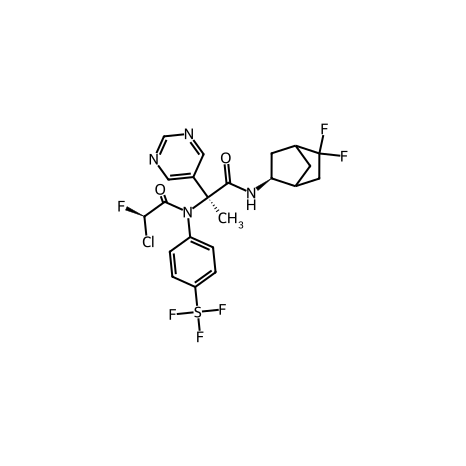 C[C@@](C(=O)N[C@H]1CC2CC1CC2(F)F)(c1cncnc1)N(C(=O)[C@H](F)Cl)c1ccc(S(F)(F)F)cc1